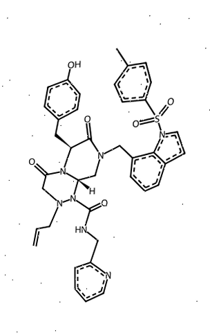 C=CCN1CC(=O)N2[C@@H](Cc3ccc(O)cc3)C(=O)N(Cc3cccc4ccn(S(=O)(=O)c5ccc(C)cc5)c34)C[C@@H]2N1C(=O)NCc1ccccn1